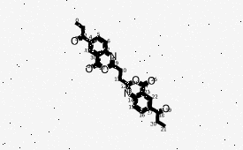 CCC(=O)c1ccc2nc(CCc3nc4ccc(C(=O)CC)cc4c(=O)o3)oc(=O)c2c1